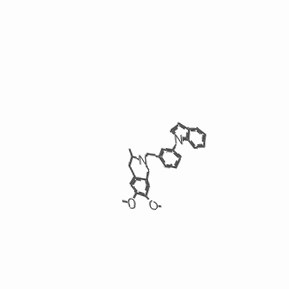 COc1cc2c(cc1OC)CN(Cc1cccc(-n3ccc4ccccc43)c1)C(C)C2